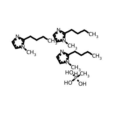 CCCCc1nccn1C.CCCCc1nccn1C.CCCCc1nccn1C.C[PH](O)(O)O